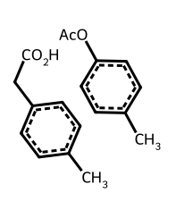 CC(=O)Oc1ccc(C)cc1.Cc1ccc(CC(=O)O)cc1